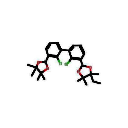 CCC1(C)OB(c2cccc(-c3cccc(B4OC(C)(C)C(C)(C)O4)c3Cl)c2Cl)OC1(C)C